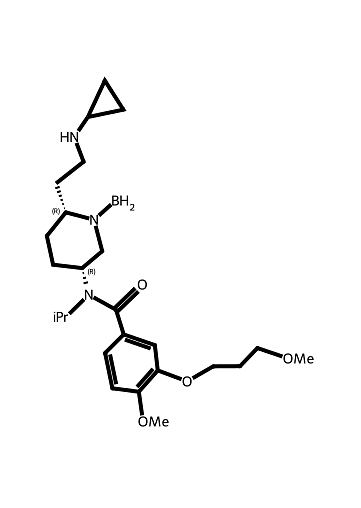 BN1C[C@H](N(C(=O)c2ccc(OC)c(OCCCOC)c2)C(C)C)CC[C@@H]1CCNC1CC1